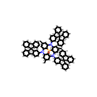 Cc1cc2c3c(c1)N(c1ccc4c(c1)C1(c5ccccc5-c5ccccc51)c1ccccc1-4)c1cc(C)cc4c1P3(=O)c1c(cc(C)cc1N4c1ccc3c(c1)C1(c4ccccc4-c4ccccc41)c1ccccc1-3)N2c1ccc2c(c1)C1(c3ccccc3-c3ccccc31)c1ccccc1-2